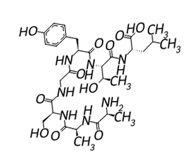 CC(C)C[C@H](NC(=O)[C@@H](NC(=O)[C@H](Cc1ccc(O)cc1)NC(=O)CNC(=O)[C@H](CO)NC(=O)[C@H](C)NC(=O)[C@H](C)N)[C@@H](C)O)C(=O)O